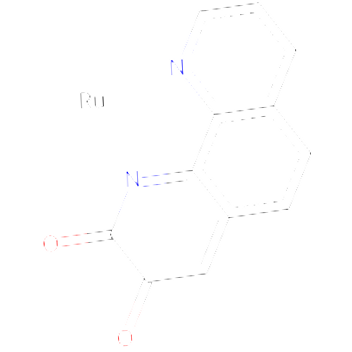 O=C1C=c2ccc3cccnc3c2=NC1=O.[Ru]